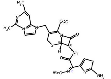 CO/N=C(\C(=O)N[C@@H]1C(=O)N2C(C(=O)[O-])=C(Cn3cc[n+]4c(C)nc(C)cc34)CS[C@@H]12)c1csc(N)n1